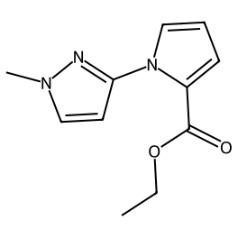 CCOC(=O)c1cccn1-c1ccn(C)n1